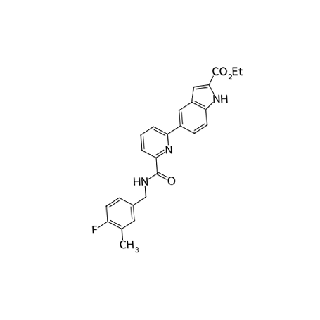 CCOC(=O)c1cc2cc(-c3cccc(C(=O)NCc4ccc(F)c(C)c4)n3)ccc2[nH]1